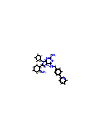 Nc1nc(NCc2ccc(-c3ccccn3)cc2)c2nc(C3CCCCC3N)n(C3CCCC3)c2n1